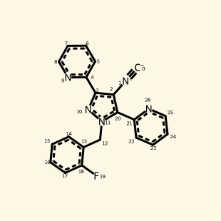 [C-]#[N+]c1c(-c2ccccn2)nn(Cc2ccccc2F)c1-c1ccccn1